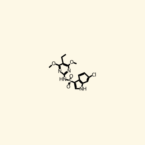 CCc1c(OC)nc(NS(=O)(=O)c2c[nH]c3cc(Cl)ccc23)nc1OC